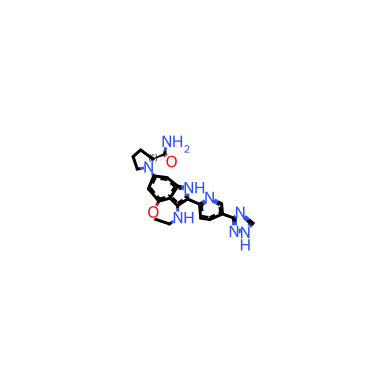 NC(=O)[C@@H]1CCCN1c1cc2c3c(c(-c4ccc(-c5nc[nH]n5)cn4)[nH]c3c1)NCCO2